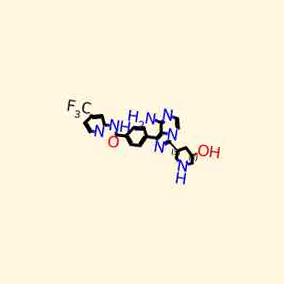 Nc1nccn2c([C@@H]3CNC[C@H](O)C3)nc(-c3ccc(C(=O)Nc4cc(C(F)(F)F)ccn4)cc3)c12